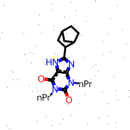 CCCn1c(=O)c2[nH]c(C3CC4CCC3C4)nc2n(CCC)c1=O